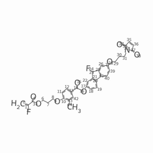 C=C(F)C(=O)OCCCOc1ccc(C(=O)Oc2ccc3c(c2)C(F)c2cc(OCCCN4C(=O)C=CC4=O)ccc2-3)cc1C